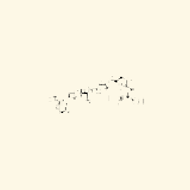 CCc1nccn1CCNC(=S)NCCSCc1ccc(CN(C)C)o1